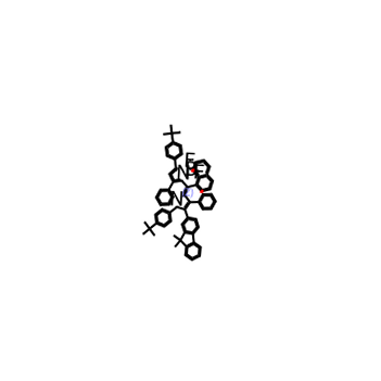 CC(C)(C)c1ccc(C2=N/C(=C(/c3cccc4ccccc34)c3c(-c4ccccc4)cc(-c4ccc(C(C)(C)C)cc4)n3B(F)F)C(c3ccccc3)=C2c2ccc3c(c2)C(C)(C)c2ccccc2-3)cc1